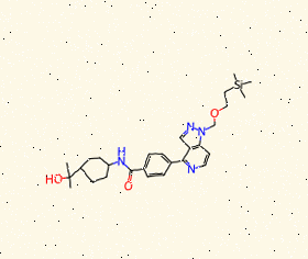 CC(C)(O)C1CCC(NC(=O)c2ccc(-c3nccc4c3cnn4COCC[Si](C)(C)C)cc2)CC1